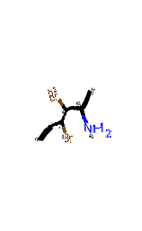 C=CC(Br)C(Br)C(C)N